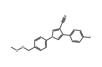 COOCc1ccc(-n2cc(C#N)c(-c3ccc(F)cc3)c2)cc1